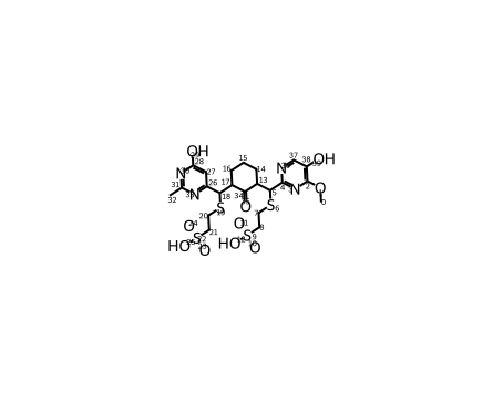 COc1nc(C(SCCS(=O)(=O)O)C2CCCC(C(SCCS(=O)(=O)O)c3cc(O)nc(C)n3)C2=O)ncc1O